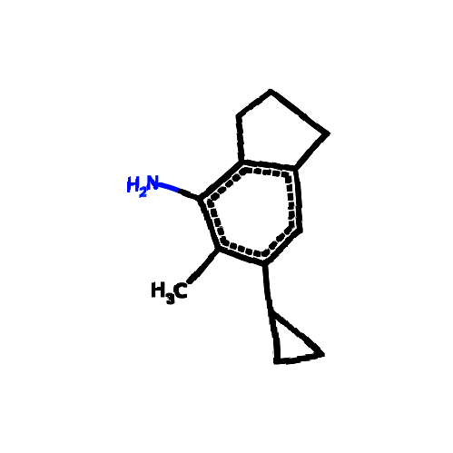 Cc1c(C2CC2)cc2c(c1N)CCC2